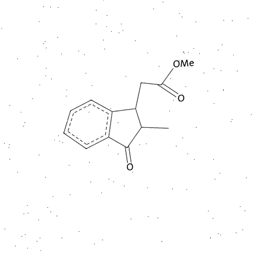 COC(=O)CC1c2ccccc2C(=O)C1C